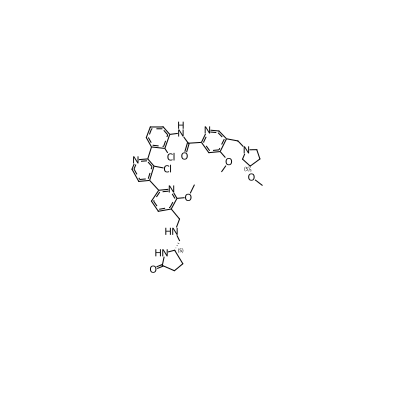 COc1cc(C(=O)Nc2cccc(-c3nccc(-c4ccc(CNC[C@@H]5CCC(=O)N5)c(OC)n4)c3Cl)c2Cl)ncc1CN1CC[C@H](OC)C1